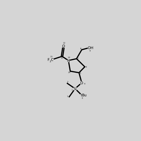 CC(C)(C)[Si](C)(C)OC1CC(CO)N(C(=O)C(F)(F)F)C1